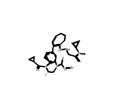 C=C(CNNC1=C(c2ccc3c(c2)N(C(=O)OC(C)C)C[C@H](C)N3C(=O)C2CC2)C=CCCC1)N(C)C1CC1